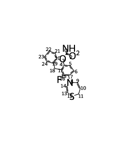 NC(=O)Oc1ccc(N2C=CCSC=C2)c(F)c1Cc1ccccc1